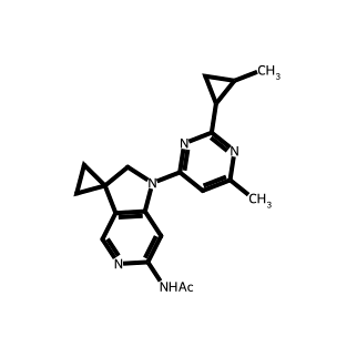 CC(=O)Nc1cc2c(cn1)C1(CC1)CN2c1cc(C)nc(C2CC2C)n1